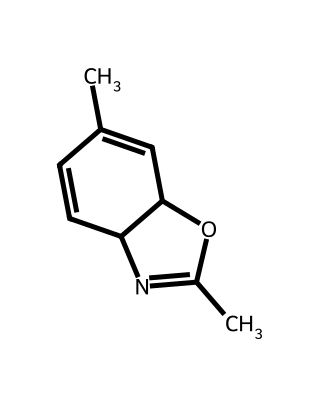 CC1=CC2OC(C)=NC2C=C1